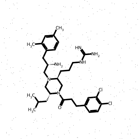 Cc1ccc(C[C@H](N)CN2C[C@@H](CC(C)C)N(C(=O)CCc3ccc(Cl)c(Cl)c3)C[C@@H]2CCCNC(=N)N)c(C)c1